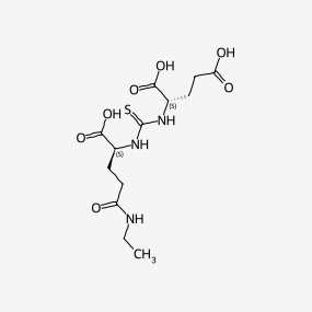 CCNC(=O)CC[C@H](NC(=S)N[C@@H](CCC(=O)O)C(=O)O)C(=O)O